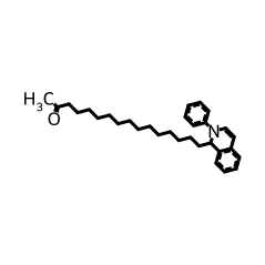 CC(=O)CCCCCCCCCCCCCCC1c2ccccc2C=CN1c1ccccc1